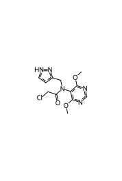 COc1ncnc(OC)c1N(Cc1cc[nH]n1)C(=O)CCl